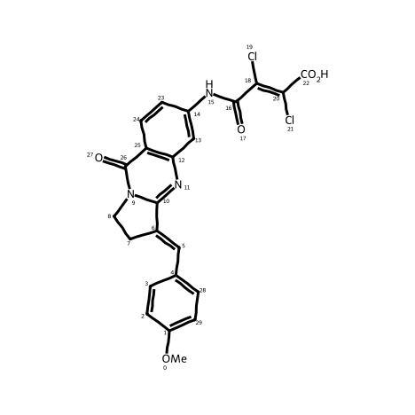 COc1ccc(C=C2CCn3c2nc2cc(NC(=O)C(Cl)=C(Cl)C(=O)O)ccc2c3=O)cc1